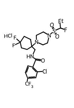 CCC(F)S(=O)(=O)N1CCN(C2(CNC(=O)c3ccc(C(F)(F)F)cc3Cl)CCC(F)(F)CC2)CC1.Cl